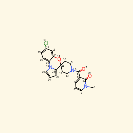 Cn1cccc(C(=O)N2CCC3(CC2)Oc2cc(Cl)ccc2-n2cccc23)c1=O